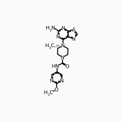 COc1ncc(NC(=O)N2CCN(c3nc(N)nc4scnc34)[C@@H](C)C2)cn1